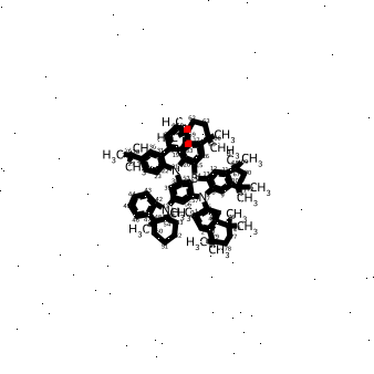 Cc1cc2c(cc1N1c3cc4c(cc3B3c5cc6c(cc5N(c5ccc(C(C)(C)C)cc5-c5ccccc5)c5cc(N7c8ccccc8C8(C)CCCCC78C)cc1c53)C(C)(C)CCC6(C)C)C(C)(C)CC4(C)C)C(C)(C)CCC2(C)C